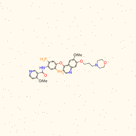 COc1cc2c(Oc3cc(P)c(NC(=O)c4cnccc4OC)cc3P)ccnc2cc1OCCCN1CCOCC1